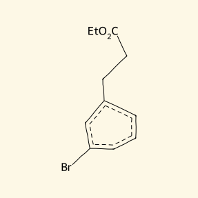 CCOC(=O)CCc1cccc(Br)c1